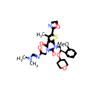 COc1ccccc1[C@H](Cn1c(=O)n(CC(=O)/N=C/N(C)C)c(=O)c2c(C)c(-c3ncco3)sc21)OC1CCOCC1